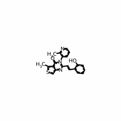 Cc1ncccc1-n1c(C=Cc2ccccc2O)nc2csc(C)c2c1=O